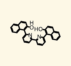 Oc1ccc2ccccc2c1-c1cccc(-c2cccc(-c3c(O)ccc4ccccc34)n2)n1